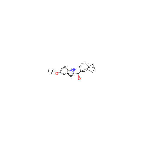 COc1ccc2[nH]c(C(=O)C34CCCC5CC(CC5C3)C4)cc2c1